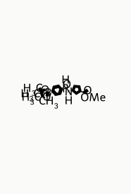 COC(=O)[C@@H]1CC[C@H](N[PH](=O)c2ccc(B3OC(C)(C)C(C)(C)O3)cc2)C1